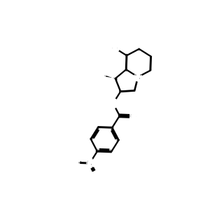 O=C(OC1CN2CCCC(O)C2[C@@H]1O)c1ccc([N+](=O)[O-])cc1